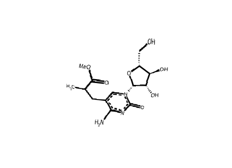 COC(=O)C(C)Cc1cn([C@@H]2O[C@H](CO)[C@@H](O)[C@@H]2O)c(=O)nc1N